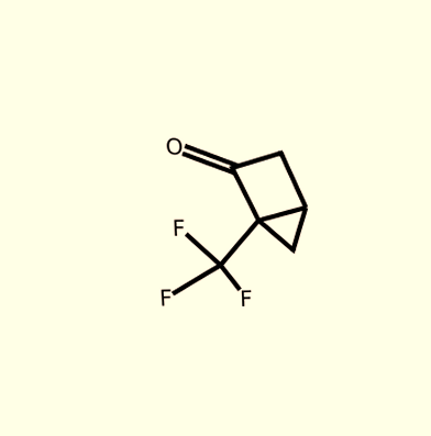 O=C1CC2CC12C(F)(F)F